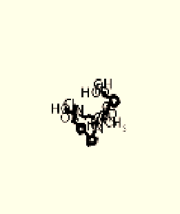 CCCCc1nc(Cl)c(C(=O)O)n1Cc1ccc(-c2ccccc2-c2nnn(C(C)OC(=O)Oc3ccccc3CON(O)O)n2)cc1